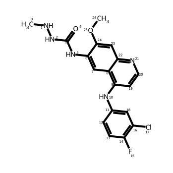 CNNC(=O)Nc1cc2c(Nc3ccc(F)c(Cl)c3)ccnc2cc1OC